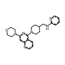 c1ccc(NCC2CCN(c3nc(N4CCOCC4)cc4ncccc34)CC2)nc1